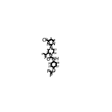 CC(C)C1CN(c2nccc(Cl)n2)CCN1C(=O)Nc1ccc(OC(F)F)cc1